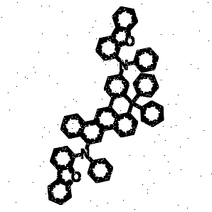 c1ccc(N(c2ccc3c(c2)C(c2ccccc2)(c2ccccc2)c2cccc4c2c-3cc2c3ccccc3c(N(c3ccccc3)c3cccc5c3oc3ccccc35)cc42)c2cccc3c2oc2ccccc23)cc1